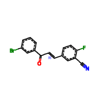 N#Cc1cc(/C=C/C(=O)c2cccc(Br)c2)ccc1F